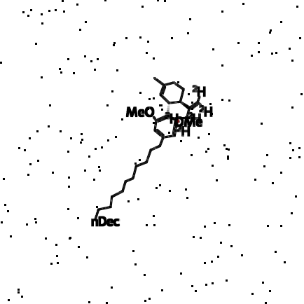 [2H]C([2H])=C([C@@H]1CCC(C)=C[C@H]1c1c(OC)cc(CCCCCCCCCCCCCCCCCCCC)cc1OC)C([2H])([2H])[2H]